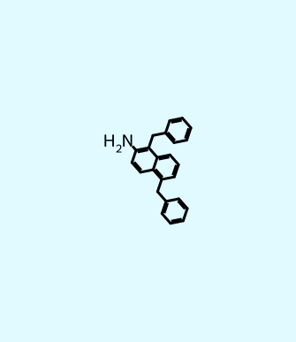 Nc1ccc2c(Cc3ccccc3)cccc2c1Cc1ccccc1